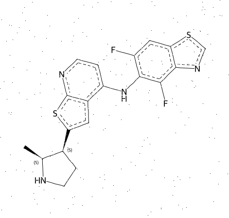 C[C@@H]1NCC[C@@H]1c1cc2c(Nc3c(F)cc4scnc4c3F)ccnc2s1